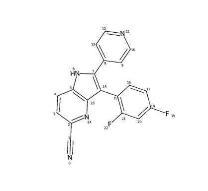 N#Cc1ccc2[nH]c(-c3ccncc3)c(-c3ccc(F)cc3F)c2n1